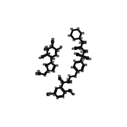 COc1ccc(Cl)cc1C(=O)NCCc1ccc(S(=O)(=O)NC(=O)NC2CCCCC2)cc1.Cc1cn([C@H]2C=C[C@@H](CO)O2)c(=O)[nH]c1=O